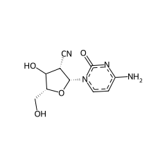 N#C[C@H]1C(O)[C@@H](CO)O[C@H]1n1ccc(N)nc1=O